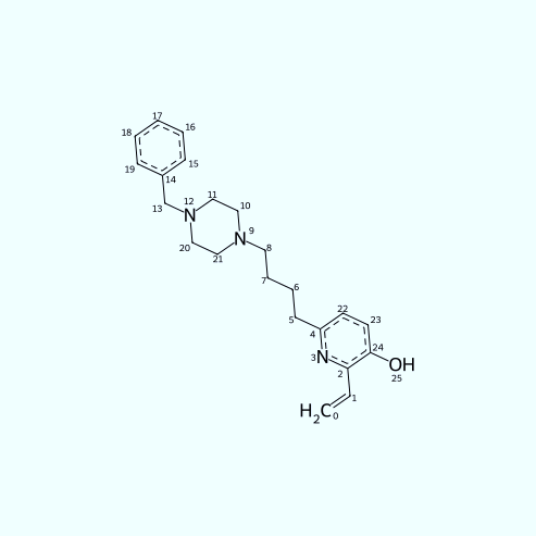 C=Cc1nc(CCCCN2CCN(Cc3ccccc3)CC2)ccc1O